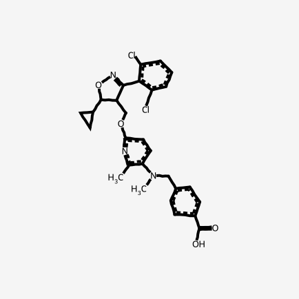 Cc1nc(OCC2C(c3c(Cl)cccc3Cl)=NOC2C2CC2)ccc1N(C)Cc1ccc(C(=O)O)cc1